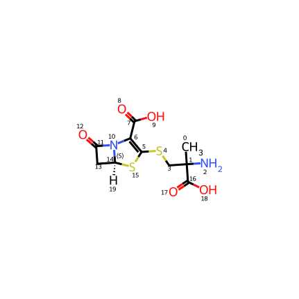 CC(N)(CSC1=C(C(=O)O)N2C(=O)C[C@@H]2S1)C(=O)O